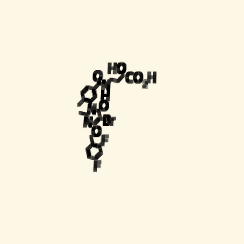 Cc1ccc(C(=O)NCC[C@H](O)C(=O)O)cc1-n1c(C)nc(OCc2ccc(F)cc2F)c(Br)c1=O